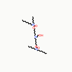 CCCCCCCCN(CCCCCC)C(=O)OCCCCCCN(CCO)CCCCCCOC(=O)N(CCCCCC)CCCCCCCC